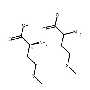 CSCCC(N)C(=O)O.CSCC[C@H](N)C(=O)O